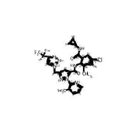 Cc1cccnc1-n1nc(Cn2cc(C(F)(F)C(F)(F)F)nn2)cc1C(=O)Nc1c(C)cc(Cl)cc1C(=O)NC1CC1